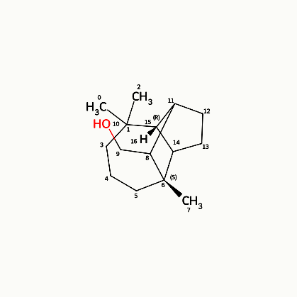 CC1(C)CCC[C@]2(C)C(CO)C3CCC2[C@@H]31